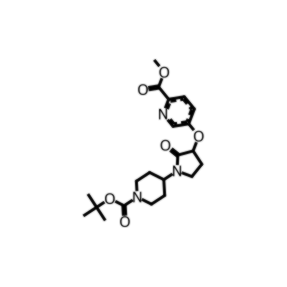 COC(=O)c1ccc(OC2CCN(C3CCN(C(=O)OC(C)(C)C)CC3)C2=O)cn1